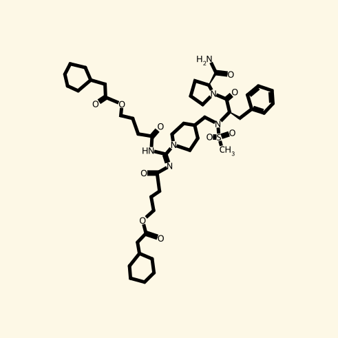 CS(=O)(=O)N(CC1CCN(C(=NC(=O)CCCOC(=O)CC2CCCCC2)NC(=O)CCCOC(=O)CC2CCCCC2)CC1)[C@H](Cc1ccccc1)C(=O)N1CCC[C@H]1C(N)=O